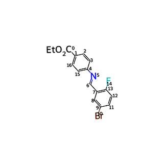 CCOC(=O)c1ccc(/N=C/c2cc(Br)ccc2F)cc1